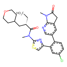 CN(C(=O)[C@@H](CC(=O)O)CC1CCOCC1)c1nc(-c2cc(Cl)ccc2-c2cnc3c(c2)CC(=O)N3C)cs1